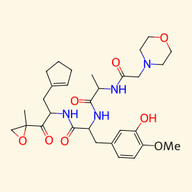 COc1ccc(CC(NC(=O)C(C)NC(=O)CN2CCOCC2)C(=O)NC(CC2=CCCC2)C(=O)C2(C)CO2)cc1O